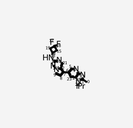 Cc1nc2ncc(-c3ccn4nc(NC5CC(F)(F)C5)ncc34)cc2n1C(C)C